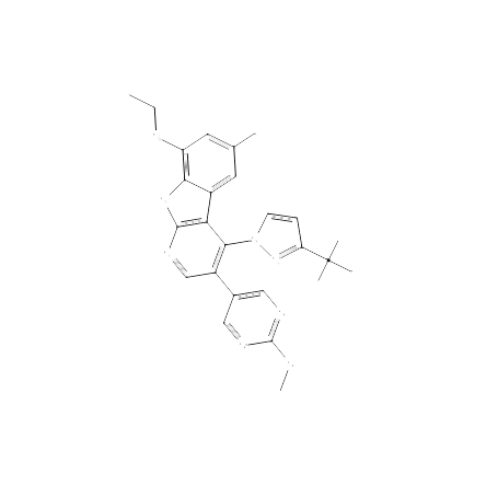 CCNc1cc(F)cc2c1[nH]c1ncc(-c3cnc(NC)nc3)c(-n3ccc(C(F)(F)F)n3)c12